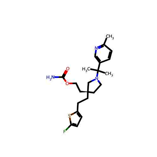 Cc1ccc(C(C)(C)N2CC[C@](CCOC(N)=O)(CCc3ccc(F)s3)C2)cn1